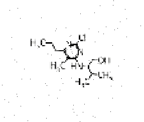 CCCc1nc(Cl)nc(NC(CO)C(C)C)c1C